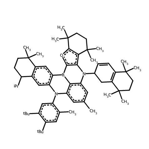 Cc1cc2c3c(c1)N(C1C=CC4=C(C1)C(C)(C)CCC4(C)C)c1c(oc4c1C(C)(C)CCC4(C)C)B3c1cc3c(cc1N2c1cc(C(C)(C)C)c(C(C)(C)C)cc1C)C(C(C)C)CCC3(C)C